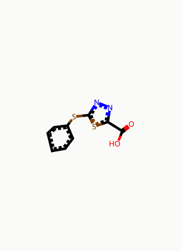 O=C(O)c1nnc(Sc2ccccc2)s1